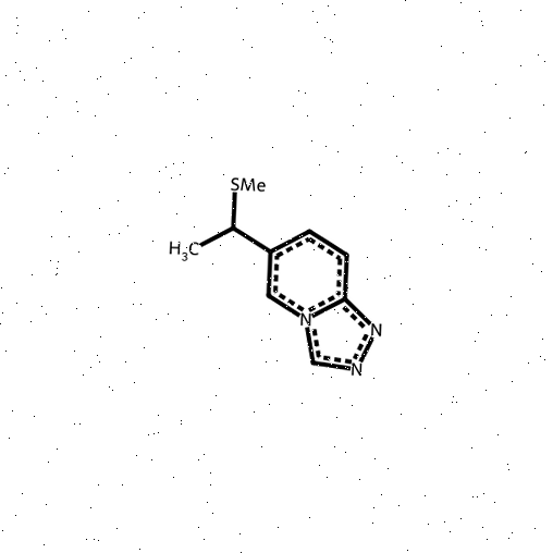 CSC(C)c1ccc2nncn2c1